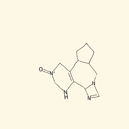 O=[N+]1CNC2=C(C1)C1CCCC1CN1C=NC21